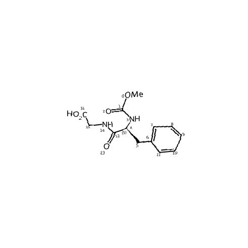 COC(=O)N[C@@H](Cc1ccccc1)C(=O)NCC(=O)O